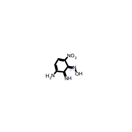 N=C1C(N)=CC=C([N+](=O)[O-])/C1=N/O